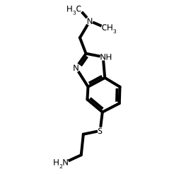 CN(C)Cc1nc2cc(SCCN)ccc2[nH]1